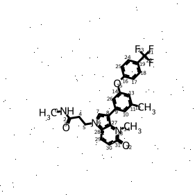 CNC(=O)CCn1cc(-c2cc(C)cc(Oc3ccc(C(F)(F)F)cc3)c2)c2c1ccc(=O)n2C